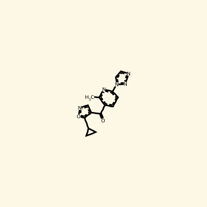 Cc1nc(-n2ccnn2)ccc1C(=O)c1cnoc1C1CC1